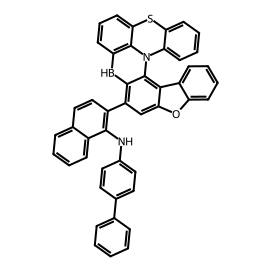 B1c2cccc3c2N(c2ccccc2S3)c2c1c(-c1ccc3ccccc3c1Nc1ccc(-c3ccccc3)cc1)cc1oc3ccccc3c21